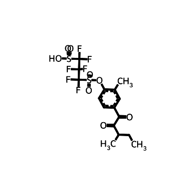 CCC(C)C(=O)C(=O)c1ccc(OS(=O)(=O)C(F)(F)C(F)(F)C(F)(F)S(=O)(=O)O)c(C)c1